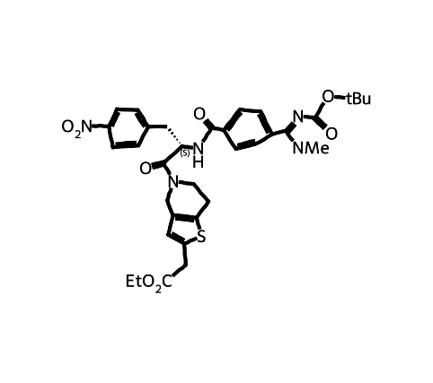 CCOC(=O)Cc1cc2c(s1)CCN(C(=O)[C@H](Cc1ccc([N+](=O)[O-])cc1)NC(=O)c1ccc(C(=NC(=O)OC(C)(C)C)NC)cc1)C2